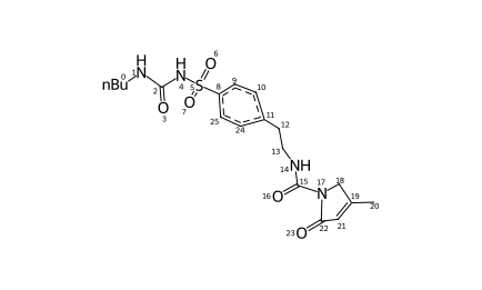 CCCCNC(=O)NS(=O)(=O)c1ccc(CCNC(=O)N2CC(C)=CC2=O)cc1